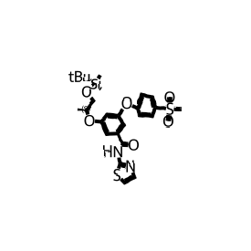 C[C@@H](CO[Si](C)(C)C(C)(C)C)Oc1cc(Oc2ccc(S(C)(=O)=O)cc2)cc(C(=O)Nc2nccs2)c1